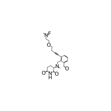 CN(F)CCOCCC#Cc1cccc(C=O)c1CN(C)C1CCC(=O)NC1=O